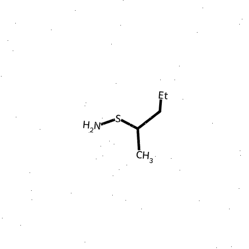 CCCC(C)SN